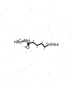 CCCCCCCCCCC(=O)NCCCC